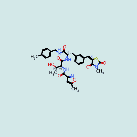 Cc1ccc(CNC(=O)[C@H](Cc2cccc(/C=C3/SC(=O)N(C)C3=O)c2)NC(=O)[C@@H](NC(=O)c2cc(C)on2)[C@@H](C)O)cc1